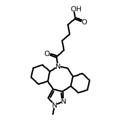 Cn1cc2c(n1)C1CCCCC1CN(C(=O)CCCCC(=O)O)C1CCCCC21